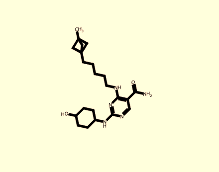 CC12CC(CCCCCNc3nc(NC4CCC(O)CC4)ncc3C(N)=O)(C1)C2